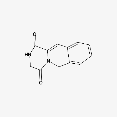 O=C1NCC(=O)N2Cc3ccccc3C=C12